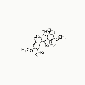 COc1cc(C)c(C(C)C(=O)C(C)c2cc(C3(Br)CC3)c(OC)cc2C)cc1C1(Br)CC1